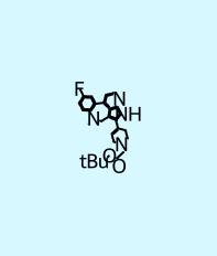 CN1Cc2c(C3=CCN(CC(=O)OC(C)(C)C)CC3)[nH]c3nccc(c23)-c2cc(F)ccc21